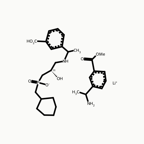 CC(NC[C@H](O)CP(=O)([O-])CC1CCCCC1)c1cccc(C(=O)O)c1.COC(=O)c1cccc(C(C)N)c1.[Li+]